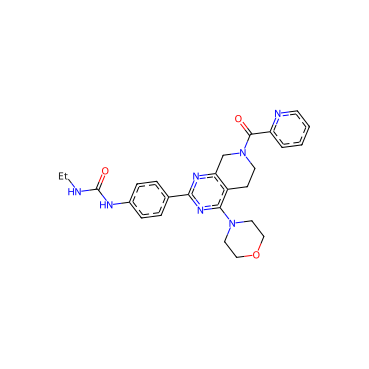 CCNC(=O)Nc1ccc(-c2nc3c(c(N4CCOCC4)n2)CCN(C(=O)c2ccccn2)C3)cc1